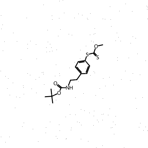 COC(=S)Sc1ccc(CCNC(=O)OC(C)(C)C)cc1